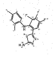 Cc1cc(I)ccc1Nc1c(-c2nnc(N)s2)cc(F)c(F)c1F